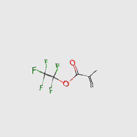 C=C(C)C(=O)OC(F)(F)C(F)(F)F